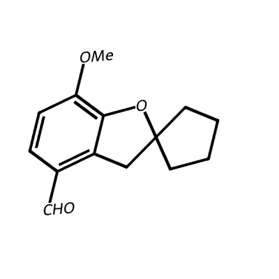 COc1ccc(C=O)c2c1OC1(CCCC1)C2